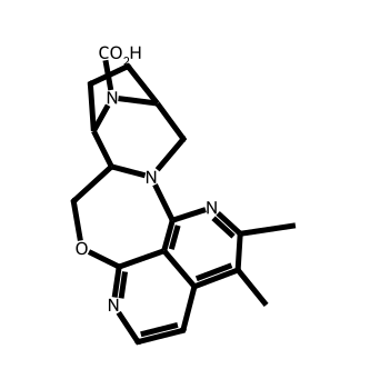 Cc1nc2c3c(nccc3c1C)OCC1C3CCC(CN21)N3C(=O)O